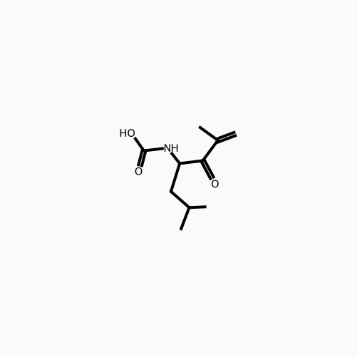 C=C(C)C(=O)C(CC(C)C)NC(=O)O